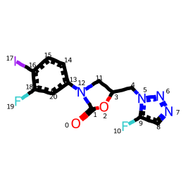 O=C1OC(Cn2nncc2F)CN1c1ccc(I)c(F)c1